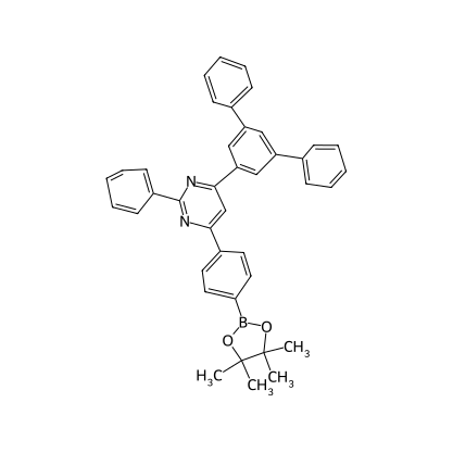 CC1(C)OB(c2ccc(-c3cc(-c4cc(-c5ccccc5)cc(-c5ccccc5)c4)nc(-c4ccccc4)n3)cc2)OC1(C)C